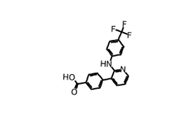 O=C(O)c1ccc(-c2cccnc2Nc2ccc(C(F)(F)F)cc2)cc1